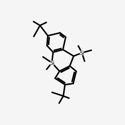 CC(C)(C)c1ccc2c(c1)[Si](C)(C)c1cc(C(C)(C)C)ccc1C2[Si](C)(C)C